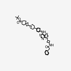 CC(C)(C)OC(=O)N1CCC2(CC1)CC(N1CCC(c3ccc(Nc4ncnc5c4ncn5C4CC(NC(=O)Cc5ccccc5)C4)cc3)CC1)C2